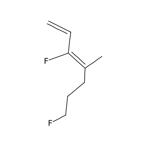 C=C/C(F)=C(\C)CCCF